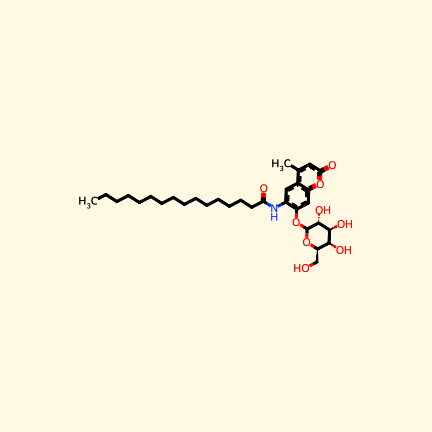 CCCCCCCCCCCCCCCC(=O)Nc1cc2c(C)cc(=O)oc2cc1OC1O[C@H](CO)[C@H](O)[C@H](O)[C@H]1O